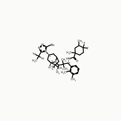 [2H]C([2H])(C)c1nnc(C(C)CC)n1[C@H]1CC2CC(C)(C)[C@H](C1)N2C(C)C(C)(C)[C@H](NC(=O)C1(C)CCC(F)(F)C(C)C1)c1cccc(C)c1C